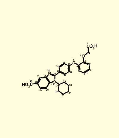 O=C(O)COc1ccccc1Oc1ccc(-c2nc3cc(C(=O)O)ccc3n2C2CCCCC2)cc1